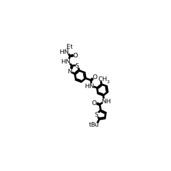 CCNC(=O)Nc1nc2ccc(C(=O)Nc3cc(NC(=O)c4ccc(C(C)(C)C)s4)ccc3C)cc2s1